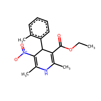 CCOC(=O)C1=C(C)NC(C)=C([N+](=O)[O-])C1c1ccccc1C